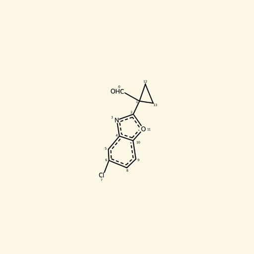 O=CC1(c2nc3cc(Cl)ccc3o2)CC1